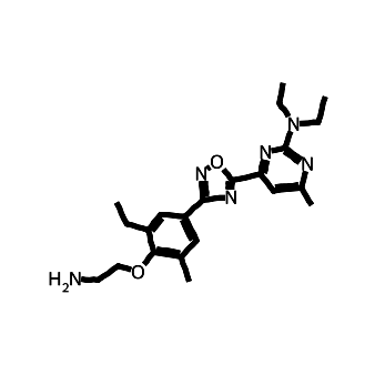 CCc1cc(-c2noc(-c3cc(C)nc(N(CC)CC)n3)n2)cc(C)c1OCCN